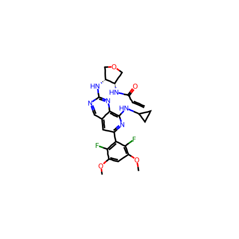 C=CC(=O)N[C@H]1COC[C@H]1Nc1ncc2cc(-c3c(F)c(OC)cc(OC)c3F)nc(NC3CC3)c2n1